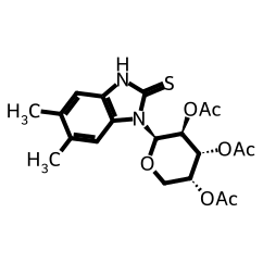 CC(=O)O[C@H]1[C@H](OC(C)=O)[C@H](OC(C)=O)CO[C@H]1n1c(=S)[nH]c2cc(C)c(C)cc21